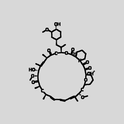 CO[C@H]1CC2CC[C@@H](C)[C@@](O)(O2)C(=O)C(=O)N2CCCC[C@H]2C(=O)O[C@H](C(C)C[C@@H]2CC[C@@H](O)[C@H](OC)C2)CC(=O)[C@H](C)/C=C(\C)[C@@H](O)[C@@H](OC)C(=O)[C@H](C)C[C@H](C)/C=C/C=C/C=C/1C